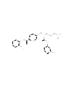 CN(C)CCCN(Cc1ccc(C(=O)Nc2ccccc2N)nc1)C(=O)Nc1cccc(F)c1